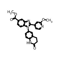 COC(=O)c1ccc2c(c1)nc(-c1ccnc(OC)c1)n2-c1ccc2c(c1)CCC(=O)N2